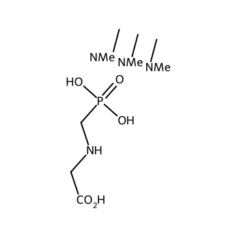 CNC.CNC.CNC.O=C(O)CNCP(=O)(O)O